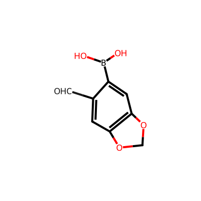 O=Cc1cc2c(cc1B(O)O)OCO2